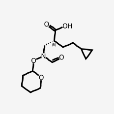 O=CN(C[C@@H](CCC1CC1)C(=O)O)OC1CCCCO1